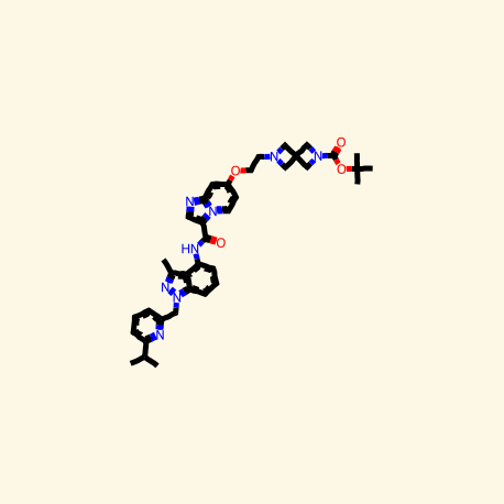 Cc1nn(Cc2cccc(C(C)C)n2)c2cccc(NC(=O)c3cnc4cc(OCCN5CC6(C5)CN(C(=O)OC(C)(C)C)C6)ccn34)c12